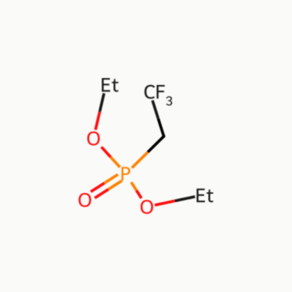 CCOP(=O)(CC(F)(F)F)OCC